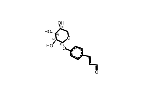 O=CC=Cc1ccc(O[C@H]2OC[C@H](O)[C@@H](O)[C@@H]2O)cc1